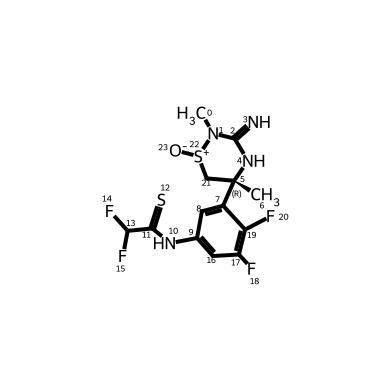 CN1C(=N)N[C@](C)(c2cc(NC(=S)C(F)F)cc(F)c2F)C[S+]1[O-]